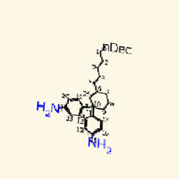 CCCCCCCCCCCCCCCC1CCCC(c2ccc(N)cc2)(c2ccc(N)cc2)C1